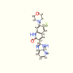 O=c1[nH]c2cc(N3CCOCC3)c(F)cc2cc1-c1nc2cccnc2[nH]1